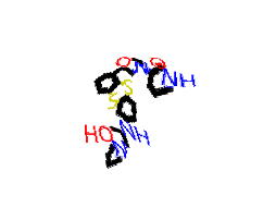 O=c1[nH]cccc1N1CCOC(c2cccc3c2Sc2ccc(NC(CO)CN4CCCC4)cc2S3)C1